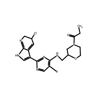 CCC(=O)N1CCOC(CNc2nc(-c3c[nH]c4c3=CC(Cl)CN=4)ncc2F)C1